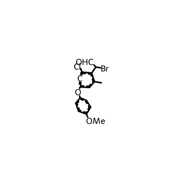 COc1ccc(Oc2cc(C)c(C(Br)C=O)c(Cl)c2)cc1